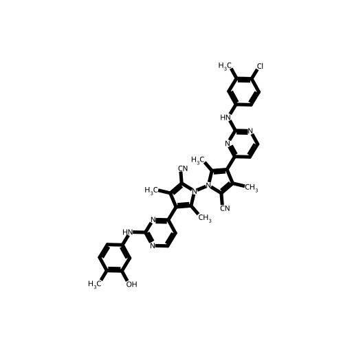 Cc1ccc(Nc2nccc(-c3c(C)c(C#N)n(-n4c(C)c(-c5ccnc(Nc6ccc(Cl)c(C)c6)n5)c(C)c4C#N)c3C)n2)cc1O